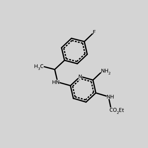 CCOC(=O)Nc1ccc(NC(C)c2ccc(F)cc2)nc1N